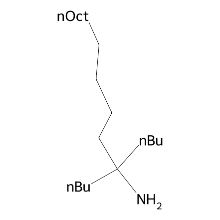 CCCCCCCCCCCCC(N)(CCCC)CCCC